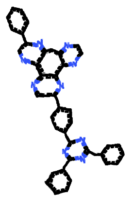 c1ccc(-c2cnc3c4ncc(-c5ccc(-c6nc(-c7ccccc7)nc(-c7ccccc7)n6)cc5)nc4c4nccnc4c3n2)cc1